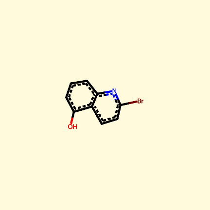 Oc1cccc2nc(Br)ccc12